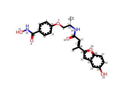 CC[C@@H](COc1ccc(C(=O)NO)cc1)NC(=O)/C=C(\C)c1cc2cc(O)ccc2o1